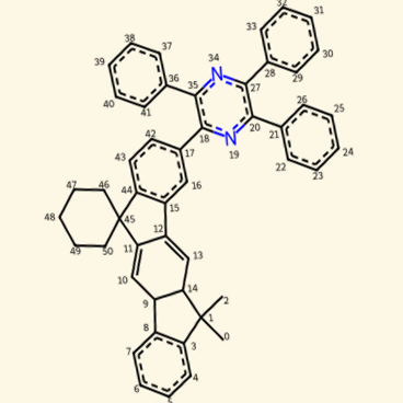 CC1(C)c2ccccc2C2C=C3C(=CC21)c1cc(-c2nc(-c4ccccc4)c(-c4ccccc4)nc2-c2ccccc2)ccc1C31CCCCC1